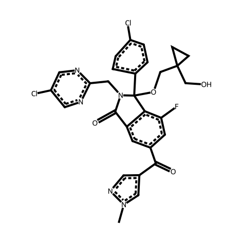 Cn1cc(C(=O)c2cc(F)c3c(c2)C(=O)N(Cc2ncc(Cl)cn2)C3(OCC2(CO)CC2)c2ccc(Cl)cc2)cn1